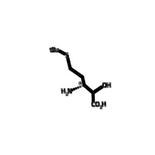 CC(C)(C)SCC[C@@H](N)C(O)C(=O)O